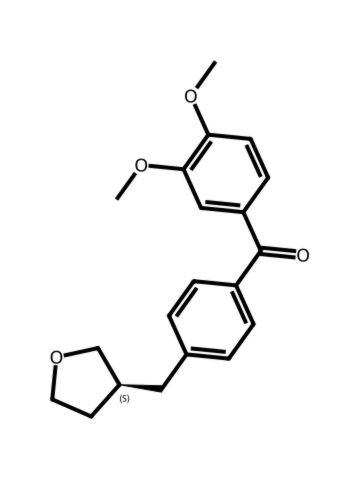 COc1ccc(C(=O)c2ccc(C[C@H]3CCOC3)cc2)cc1OC